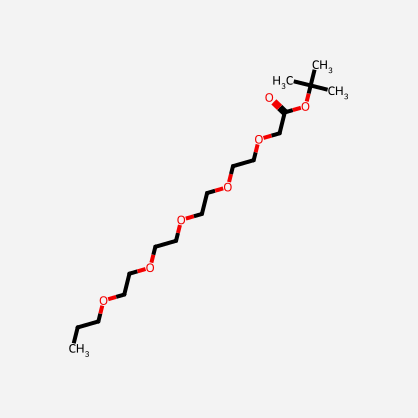 CCCOCCOCCOCCOCCOCC(=O)OC(C)(C)C